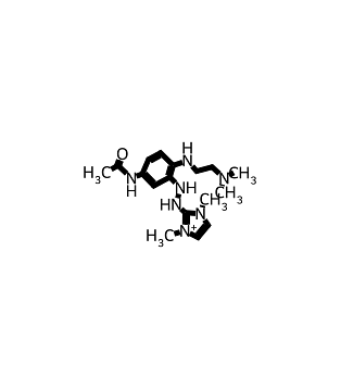 CC(=O)Nc1ccc(NCCN(C)C)c(NNc2n(C)cc[n+]2C)c1